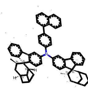 C[C@@H]1CC2CC(C1)[C@@]1(c3ccccc3-c3cc(N(c4ccc(-c5cccc6ccccc56)cc4)c4ccc5c(c4)-c4ccccc4[C@]54[C@H](C)C[C@@H]5CC6C[C@@H]4C65)ccc31)[C@@H](C)C2